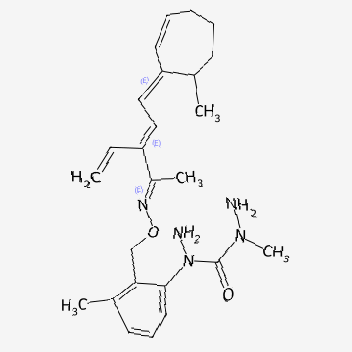 C=CC(=C\C=C1\C=CCCCC1C)/C(C)=N/OCc1c(C)cccc1N(N)C(=O)N(C)N